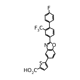 O=C(O)c1ccc(-c2ccc3oc(-c4ccc(-c5ccc(F)cc5)c(C(F)(F)F)c4)nc3c2)s1